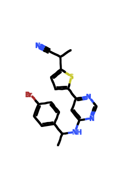 CC(C#N)c1ccc(-c2cc(NC(C)c3ccc(Br)cc3)ncn2)s1